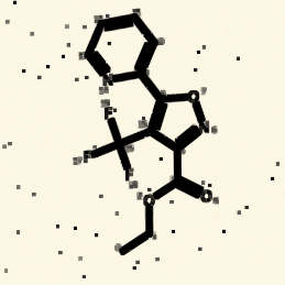 CCOC(=O)c1noc(-c2ccccn2)c1C(F)(F)F